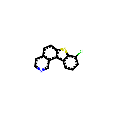 Clc1cccc2c1sc1ccc3ccncc3c12